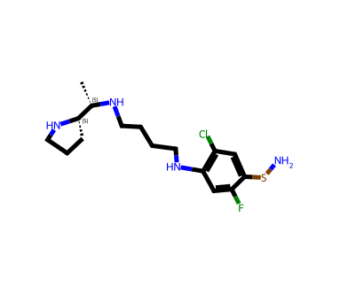 C[C@H](NCCCCNc1cc(F)c(SN)cc1Cl)[C@@H]1CCCN1